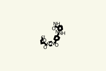 NC(=O)c1cccc2[nH]c(-c3ccc(C(=O)N4CCN(C(=O)c5ccc(Cl)o5)CC4)cc3)nc12